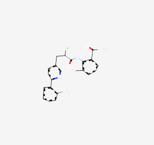 CCCC(Cc1ccc(-c2ccccc2C#N)nc1)C(=O)Nc1c(C(=O)OC)cccc1[N+](=O)[O-]